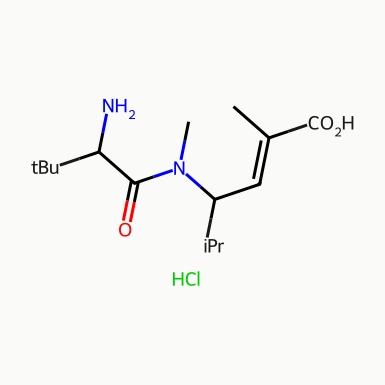 C/C(=C\C(C(C)C)N(C)C(=O)C(N)C(C)(C)C)C(=O)O.Cl